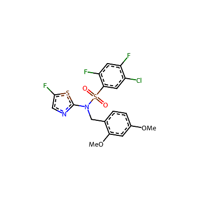 COc1ccc(CN(c2ncc(F)s2)S(=O)(=O)c2cc(Cl)c(F)cc2F)c(OC)c1